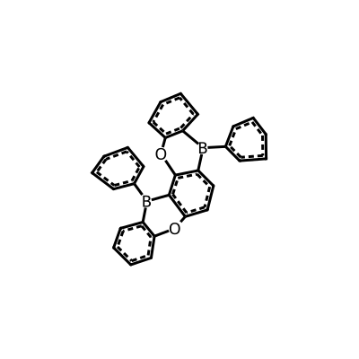 c1ccc(B2c3ccccc3Oc3c2ccc2c3B(c3ccccc3)c3ccccc3O2)cc1